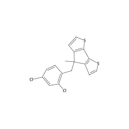 CC1(Cc2ccc(Cl)cc2Cl)c2ccsc2-c2sccc21